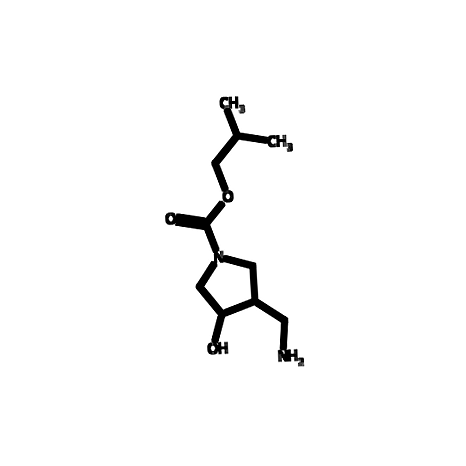 CC(C)COC(=O)N1CC(O)C(CN)C1